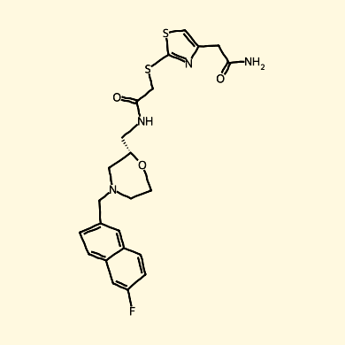 NC(=O)Cc1csc(SCC(=O)NC[C@H]2CN(Cc3ccc4cc(F)ccc4c3)CCO2)n1